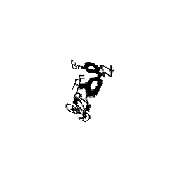 CS(=O)(=O)N1CCN(c2ccc(-c3ncnc4ccc(Br)cc34)cc2C(F)(F)F)CC1